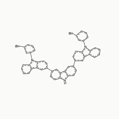 CCC(C)c1cccc(-n2c3ccccc3c3cc(-c4ccc5[nH]c6ccc(-c7ccc8c(c7)c7ccccc7n8-c7cccc(C(C)CC)c7)cc6c5c4)ccc32)c1